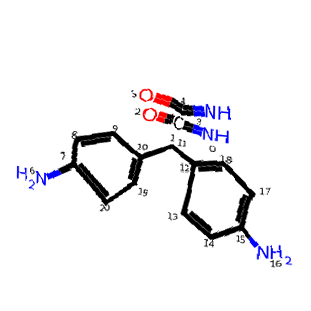 N=C=O.N=C=O.Nc1ccc(Cc2ccc(N)cc2)cc1